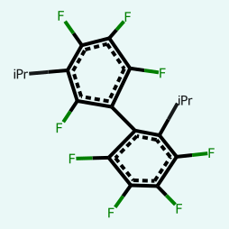 CC(C)c1c(F)c(F)c(F)c(-c2c(F)c(F)c(F)c(F)c2C(C)C)c1F